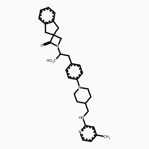 Cc1ccnc(NCC2CCN(c3ccc(CC(C(=O)O)N4CC5(Cc6ccccc6C5)C4=O)cc3)CC2)c1